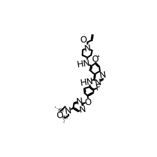 C=CC(=O)N1CCC(Nc2cc3c(Nc4ccc(Oc5ncc(N6C[C@@H](C)O[C@@H](C)C6)cn5)cc4F)ncnc3cc2OC)CC1